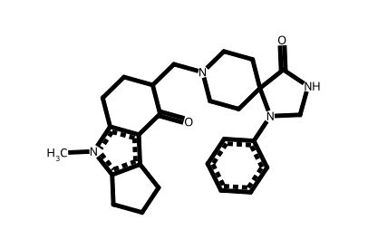 Cn1c2c(c3c1CCC(CN1CCC4(CC1)C(=O)NCN4c1ccccc1)C3=O)CCC2